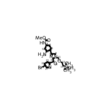 COC(=O)Nc1ccc(-c2cn(COCC[Si](C)(C)C)c(C(=O)c3ccc(Br)cn3)n2)c(N)c1